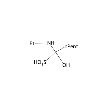 CCCCCC(O)(NCC)S(=O)(=O)O